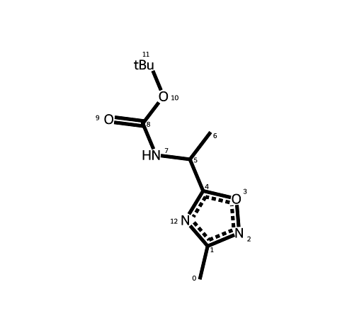 Cc1noc(C(C)NC(=O)OC(C)(C)C)n1